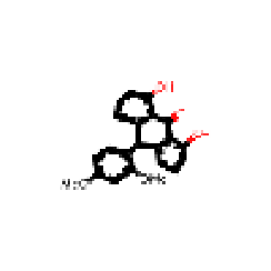 COc1ccc(C2c3cccc(O)c3C(=O)c3c(O)cccc32)c(OC)c1